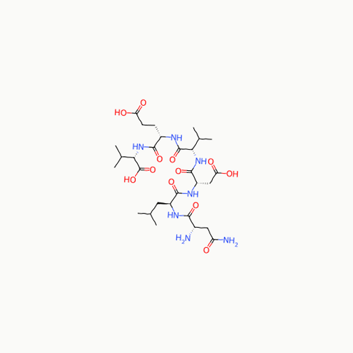 CC(C)C[C@H](NC(=O)[C@@H](N)CC(N)=O)C(=O)N[C@@H](CC(=O)O)C(=O)N[C@H](C(=O)N[C@@H](CCC(=O)O)C(=O)N[C@H](C(=O)O)C(C)C)C(C)C